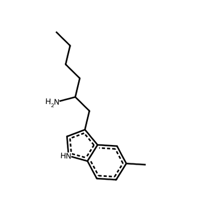 CCCCC(N)Cc1c[nH]c2ccc(C)cc12